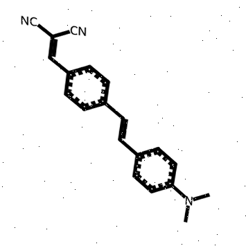 CN(C)c1ccc(C=Cc2ccc(C=C(C#N)C#N)cc2)cc1